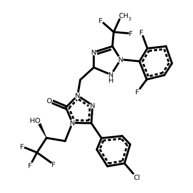 CC(F)(F)C1=NC(Cn2nc(-c3ccc(Cl)cc3)n(C[C@H](O)C(F)(F)F)c2=O)NN1c1c(F)cccc1F